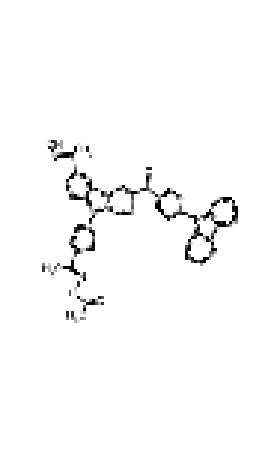 CC(=O)ON=C(C)c1ccc(-n2c3ccc(C(=O)c4ccc(-n5c6ccccc6c6ccccc65)cc4)cc3c3cc(C(C)=NO)ccc32)cc1